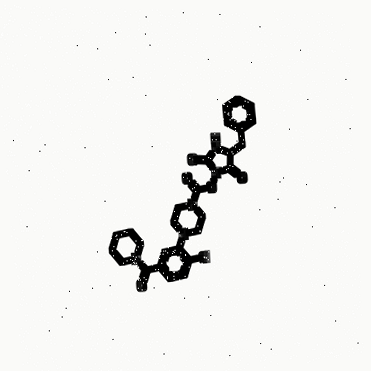 O=C(ON1C(=O)NC(Cc2ccccc2)C1=O)N1CCN(c2cc(C(=O)N3CCCCC3)ccc2Cl)CC1